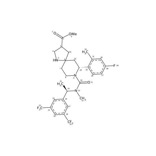 COC(=O)C1CNC2(CCN(C(=O)N(C)[C@H](C)c3cc(C(F)(F)F)cc(C(F)(F)F)c3)[C@@H](c3ccc(F)cc3C)C2)C1